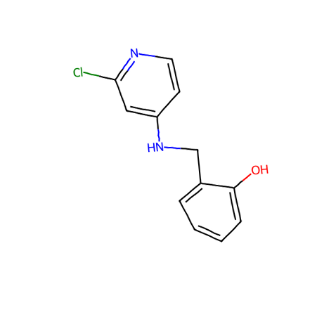 Oc1ccccc1CNc1ccnc(Cl)c1